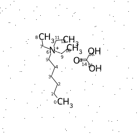 CCCCCC[N+](CC)(CC)CC.O=C(O)O